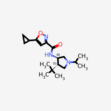 CC(C)N1C[C@H](NC(=O)c2cc(C3CC3)on2)[C@@H](C(C)(C)C)C1